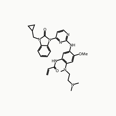 C=CC(=O)Nc1cc(Nc2nccc(-n3c(=O)n(CC4CC4)c4ccccc43)n2)c(OC)cc1N(C)CCN(C)C